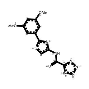 COc1cc(OC)cc(-c2nc(NC(=O)c3nnn[nH]3)cs2)c1